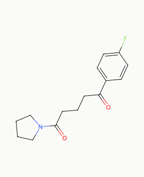 O=C(CCCC(=O)N1CCCC1)c1ccc(F)cc1